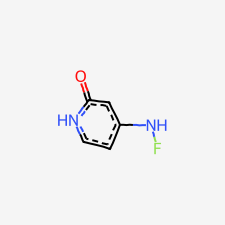 O=c1cc(NF)cc[nH]1